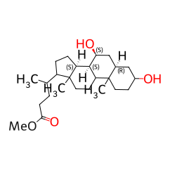 COC(=O)CCC(C)C1CC[C@H]2[C@@H]3C(CCC12C)C1(C)CCC(O)C[C@@H]1C[C@@H]3O